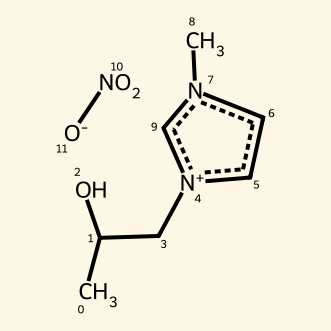 CC(O)C[n+]1ccn(C)c1.O=[N+]([O-])[O-]